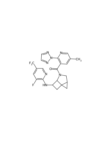 Cc1cnc(-n2nccn2)c(C(=O)N2CC3CC34CC(Nc3ncc(C(F)(F)F)cc3F)C24)c1